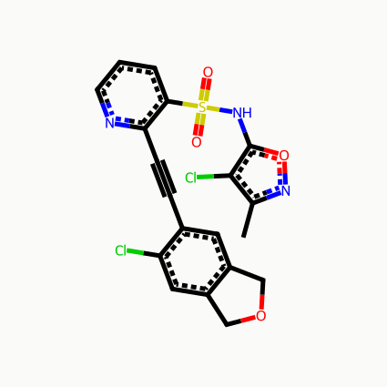 Cc1noc(NS(=O)(=O)c2cccnc2C#Cc2cc3c(cc2Cl)COC3)c1Cl